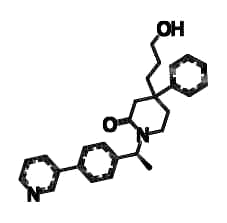 C[C@@H](c1ccc(-c2cccnc2)cc1)N1CCC(CCCO)(c2ccccc2)CC1=O